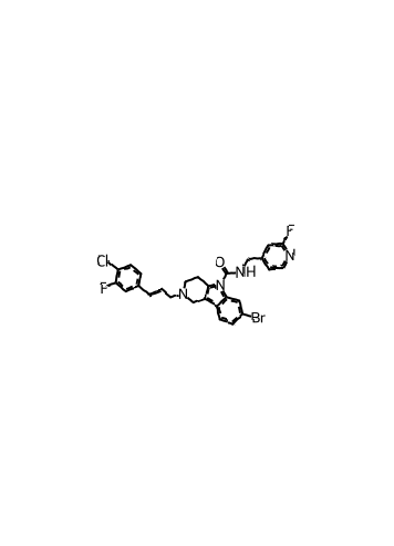 O=C(NCc1ccnc(F)c1)n1c2c(c3ccc(Br)cc31)CN(CC=Cc1ccc(Cl)c(F)c1)CC2